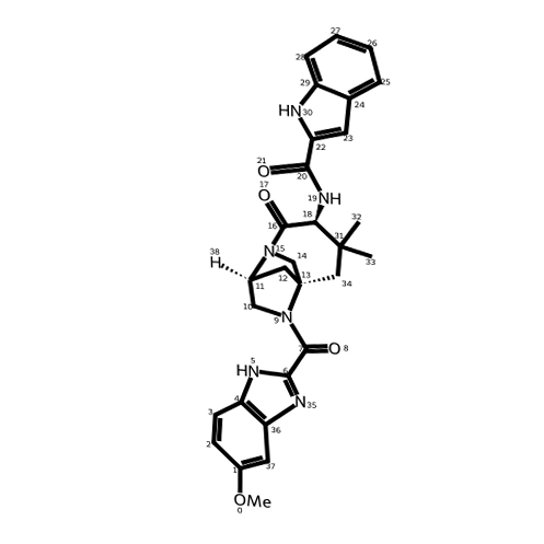 COc1ccc2[nH]c(C(=O)N3C[C@@H]4C[C@@]35CN4C(=O)[C@@H](NC(=O)c3cc4ccccc4[nH]3)C(C)(C)C5)nc2c1